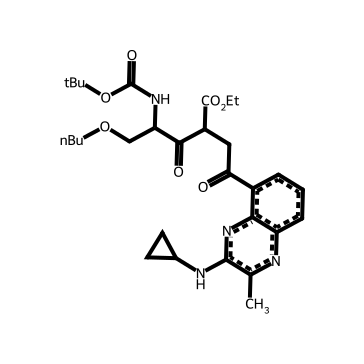 CCCCOCC(NC(=O)OC(C)(C)C)C(=O)C(CC(=O)c1cccc2nc(C)c(NC3CC3)nc12)C(=O)OCC